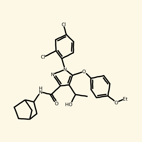 CCOc1ccc(Oc2c(C(C)O)c(C(=O)NC3CC4CCC3C4)nn2-c2ccc(Cl)cc2Cl)cc1